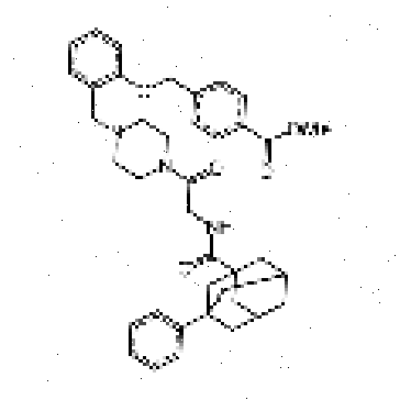 COC(=O)c1ccc(COc2ccccc2CN2CCN(C(=O)CNC(=O)C34CC5CC(C3)CC(c3ccccc3)(C5)C4)CC2)cc1